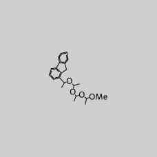 COC(C)OC(C)OC(C)OC(C)c1cccc2c1Cc1ccccc1-2